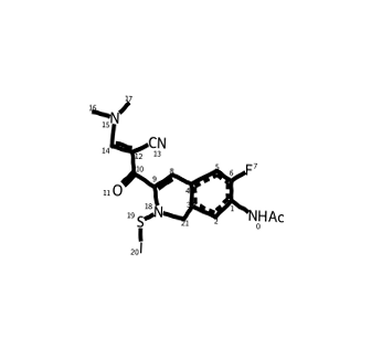 CC(=O)Nc1cc2c(cc1F)C=C(C(=O)/C(C#N)=C/N(C)C)N(SI)C2